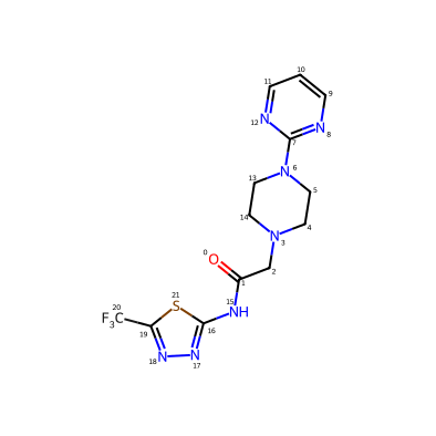 O=C(CN1CCN(c2ncccn2)CC1)Nc1nnc(C(F)(F)F)s1